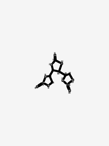 O=C1OC(C2COS(=O)O2)C(C2COS(=O)O2)O1